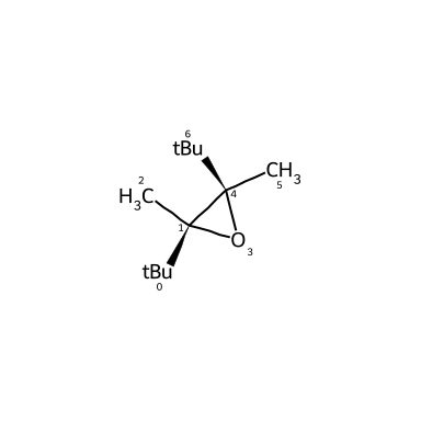 CC(C)(C)[C@]1(C)O[C@]1(C)C(C)(C)C